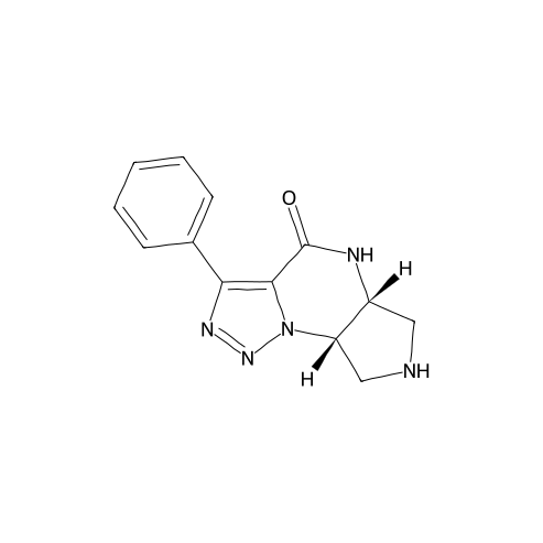 O=C1N[C@@H]2CNC[C@@H]2n2nnc(-c3ccccc3)c21